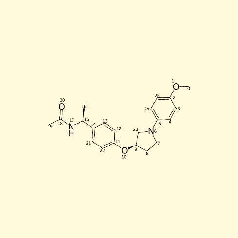 COc1ccc(N2CC[C@@H](Oc3ccc([C@H](C)NC(C)=O)cc3)C2)cc1